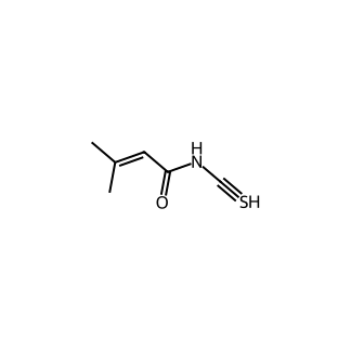 CC(C)=CC(=O)NC#[SH]